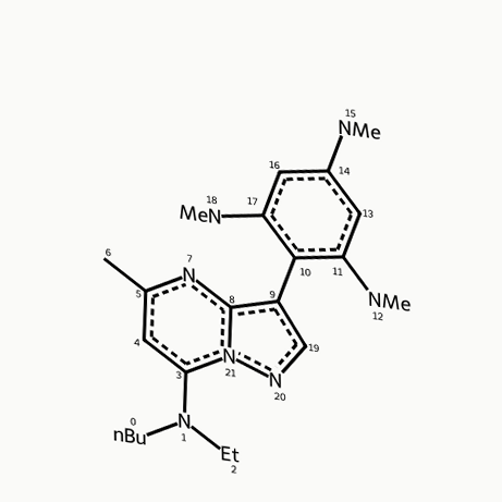 CCCCN(CC)c1cc(C)nc2c(-c3c(NC)cc(NC)cc3NC)cnn12